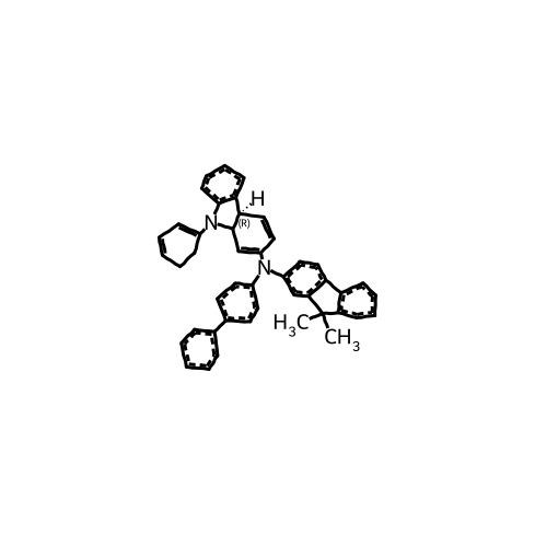 CC1(C)c2ccccc2-c2ccc(N(C3=CC4[C@H](C=C3)c3ccccc3N4C3=CC=CCC3)c3ccc(-c4ccccc4)cc3)cc21